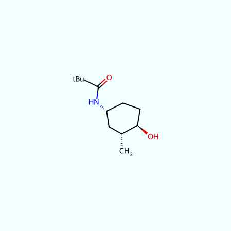 C[C@@H]1C[C@H](NC(=O)C(C)(C)C)CC[C@H]1O